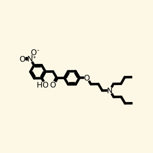 CCCCN(CCCC)CCCOc1ccc(C(=O)Cc2cc([N+](=O)[O-])ccc2O)cc1